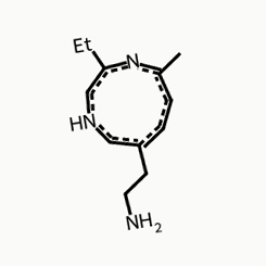 CCc1c[nH]cc(CCN)ccc(C)n1